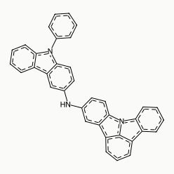 c1ccc(-n2c3ccccc3c3cc(Nc4ccc5c(c4)c4cccc6c7ccccc7n5c64)ccc32)cc1